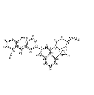 CC(=O)NC1CCN(c2nc(-c3ccnc(Nc4c(F)cccc4F)c3)nc3cncc(C4CC4)c23)CC1